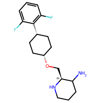 NC1CCCN[C@H]1CO[C@H]1CC[C@@H](c2c(F)cccc2F)CC1